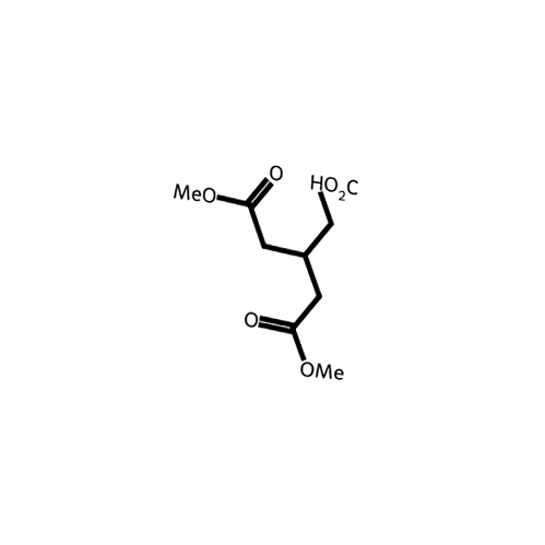 COC(=O)CC(CC(=O)O)CC(=O)OC